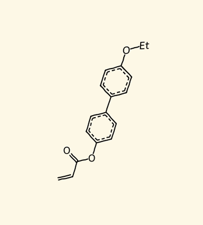 C=CC(=O)Oc1ccc(-c2ccc(OCC)cc2)cc1